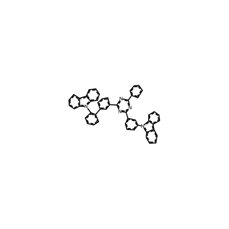 c1ccc(-c2nc(-c3cccc(-c4ccccc4-n4c5ccccc5c5ccccc54)c3)nc(-c3cccc(-n4c5ccccc5c5ccccc54)c3)n2)cc1